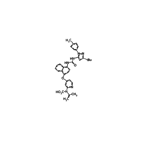 C=C(C)N(C(=O)O)c1cc(Oc2ccc(NC(=O)Nc3cc(C(C)(C)C)nn3-c3ccc(C)cc3)c3ccccc23)ccn1